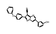 N#Cc1c(-c2ccc(Oc3ccccc3)cc2)nn2cc(-c3cccc(O)c3)cnc12